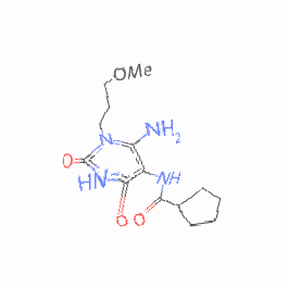 COCCCn1c(N)c(NC(=O)C2CCCC2)c(=O)[nH]c1=O